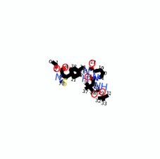 CCOC(=O)c1ncsc1-c1ccc(CNC(=O)[C@@H]2CCCN2C(=O)C(NC(=O)OC(C)(C)C)C(C)(C)C)cc1